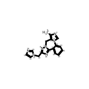 Cc1ncn2c1Cn1nc(Cn3ccnc3)nc1-c1ccccc1-2